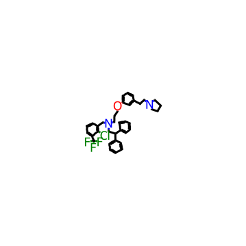 FC(F)(F)c1cccc(CN(CCCOc2cccc(CCN3CCCC3)c2)CC(c2ccccc2)c2ccccc2)c1Cl